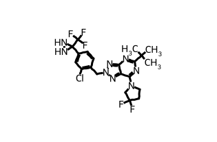 CC(C)(C)c1nc(N2CCC(F)(F)C2)c2nn(Cc3ccc(C4(C(F)(F)F)NN4)cc3Cl)nc2n1